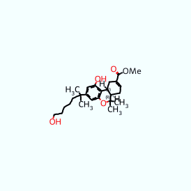 COC(=O)C1=CC[C@@H]2[C@@H](C1)c1c(O)cc(C(C)(C)CCCCCO)cc1OC2(C)C